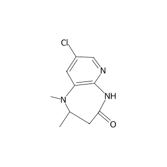 CC1CC(=O)Nc2ncc(Cl)cc2N1C